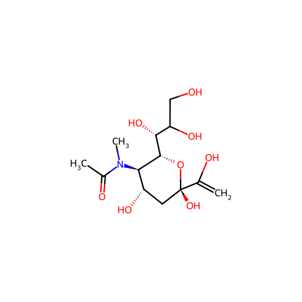 C=C(O)[C@]1(O)C[C@H](O)[C@@H](N(C)C(C)=O)[C@H]([C@H](O)C(O)CO)O1